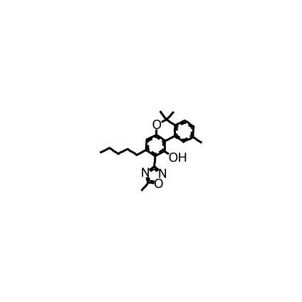 CCCCCc1cc2c(c(O)c1-c1noc(C)n1)-c1cc(C)ccc1C(C)(C)O2